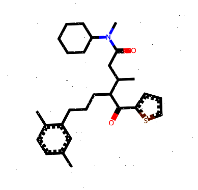 Cc1ccc(C)c(CCCC(C(=O)c2cccs2)C(C)CC(=O)N(C)C2CCCCC2)c1